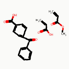 C=CC(=O)O.C=CC(=O)OC.O=C(O)c1ccc(C(=O)c2ccccc2)cc1